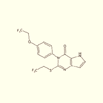 O=c1c2[nH]ccc2nc(SCC(F)(F)F)n1-c1ccc(OCC(F)(F)F)cc1